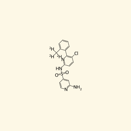 [2H]C([2H])([2H])c1ccccc1-c1nc(NS(=O)(=O)c2ccnc(N)c2)ccc1Cl